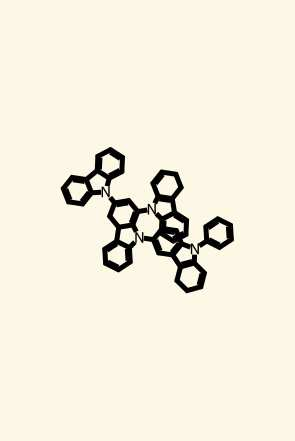 C1=Cc2c(c3ccccc3n2C2=C3C(CC(n4c5ccccc5c5ccccc54)=C2)c2ccccc2N3c2ccc3c(c2)c2c(n3-c3ccccc3)C=CCC2)CC1